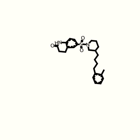 Cc1ccccc1CCCCC1CCCN(S(=O)(=O)c2ccc3c(c2)CCC(=O)N3)C1